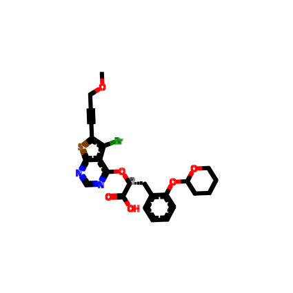 COCC#Cc1sc2ncnc(O[C@H](Cc3ccccc3OC3CCCCO3)C(=O)O)c2c1Br